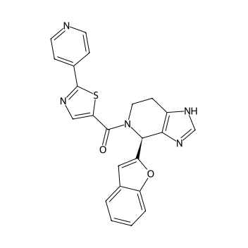 O=C(c1cnc(-c2ccncc2)s1)N1CCc2[nH]cnc2[C@H]1c1cc2ccccc2o1